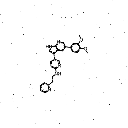 COc1ccc(-c2cnc3[nH]cc(-c4ccc(NCCc5ccccn5)nc4)c3c2)cc1OC